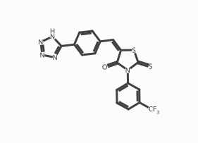 O=C1/C(=C\c2ccc(-c3nnn[nH]3)cc2)SC(=S)N1c1cccc(C(F)(F)F)c1